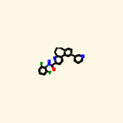 O=C(Nc1c(F)cccc1F)c1ccc2c(n1)CCCc1ccc(-c3cccnc3)cc1-2